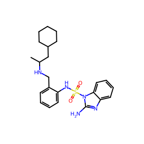 CC(CC1CCCCC1)NCc1ccccc1NS(=O)(=O)n1c(N)nc2ccccc21